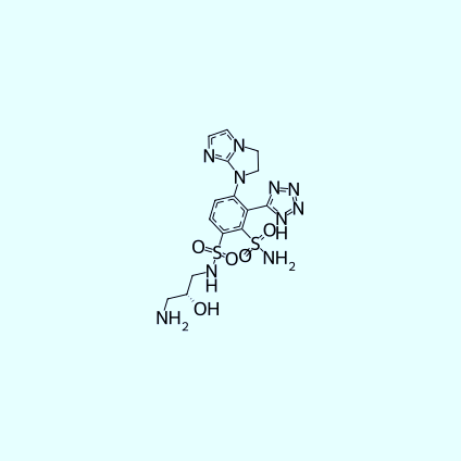 NC[C@@H](O)CNS(=O)(=O)c1ccc(N2CCn3ccnc32)c(-c2nnn[nH]2)c1S(N)(=O)=O